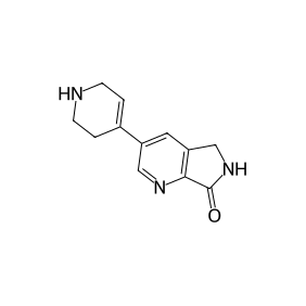 O=C1NCc2cc(C3=CCNCC3)cnc21